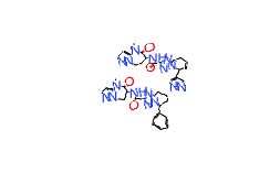 CN1C(=O)[C@@H](NC(=O)c2nc3n(n2)C(c2ccccc2)CCC3)CCn2nccc21.CN1C(=O)[C@@H](NC(=O)c2nc3n(n2)C(c2cnn(C)c2)CCC3)CCn2nccc21